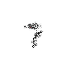 COc1c(C[C@@H](NC(=O)c2ccc(CNC(=O)OCC3c4ccccc4-c4ccccc43)cn2)C(=O)NCCCC[C@H](NC(=O)N[C@@H](CCC(=O)OC(C)(C)C)C(=O)OC(C)(C)C)C(=O)OC(C)(C)C)ccc2ccccc12